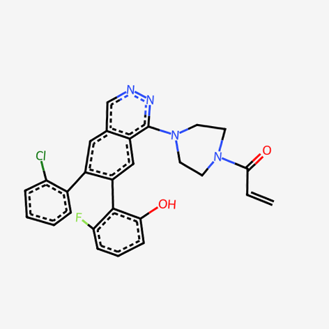 C=CC(=O)N1CCN(c2nncc3cc(-c4ccccc4Cl)c(-c4c(O)cccc4F)cc23)CC1